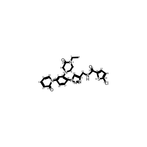 CCN1CCN(c2cc(-n3ccccc3=O)ccc2-n2cc(CNC(=O)c3ccc(Cl)s3)nn2)CC1=O